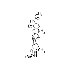 C=CC(=O)Nc1cccc(SC(=N/C=C/N2CCC(C)(NC(=O)OC(C)(C)C)CC2)/C(N)=N\C)c1CC